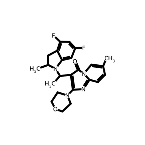 Cc1ccc2nc(N3CCOCC3)c(C(C)N3c4cc(F)cc(F)c4CC3C)c(=O)n2c1